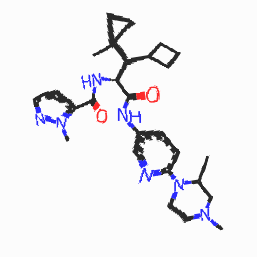 CC1CN(C)CCN1c1ccc(NC(=O)[C@@H](NC(=O)c2ccnn2C)C(C2CCC2)C2(C)CC2)cn1